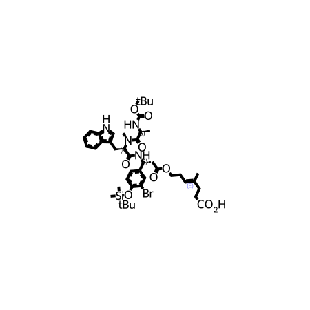 C/C(=C\CCOC(=O)C[C@@H](NC(=O)[C@@H](Cc1c[nH]c2ccccc12)N(C)C(=O)[C@H](C)NC(=O)OC(C)(C)C)c1ccc(O[Si](C)(C)C(C)(C)C)c(Br)c1)CCC(=O)O